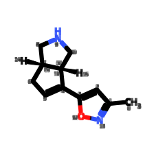 Cc1cc(C2=CC[C@@H]3CNC[C@H]23)on1